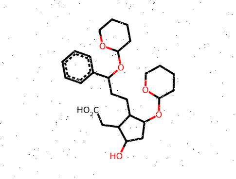 O=C(O)CC1C(O)CC(OC2CCCCO2)C1CCC(OC1CCCCO1)c1ccccc1